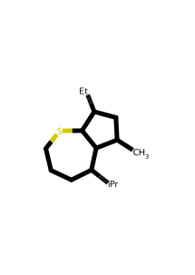 CCC1CC(C)C2C(C(C)C)CCCSC12